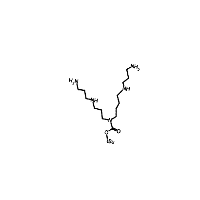 CC(C)(C)OC(=O)N(CCCCNCCCN)CCCNCCCN